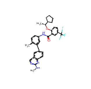 CNc1ncc2cc(-c3cc(NC(=O)c4cc(C(F)(F)F)ccc4O[C@@H](C)C4CCCC4)ccc3C)ccc2n1